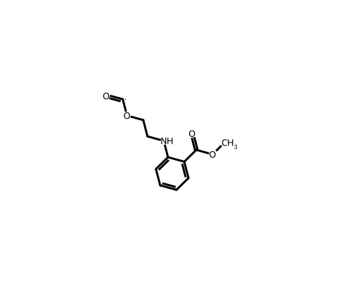 COC(=O)c1ccccc1NCCO[C]=O